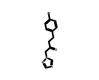 O=C(CCc1ccc(Br)cc1)Cn1cncn1